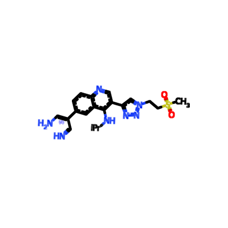 CC(C)Nc1c(-c2cn(CCS(C)(=O)=O)nn2)cnc2ccc(/C(C=N)=C/N)cc12